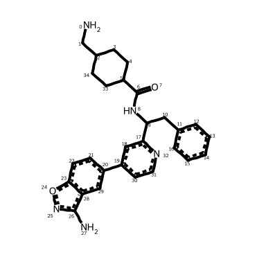 NCC1CCC(C(=O)NC(Cc2ccccc2)c2cc(-c3ccc4onc(N)c4c3)ccn2)CC1